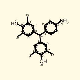 Cc1cc(C(c2ccc(N)cc2)c2cc(C)c(O)c(C)c2)cc(C)c1O